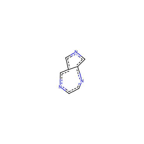 c1cnc2cncc-2cn1